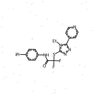 CCn1c(SC(F)(F)C(=O)Nc2ccc(C(C)C)cc2)nnc1-c1ccncc1